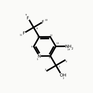 CC(C)(O)c1ncc(C(F)(F)F)cc1N